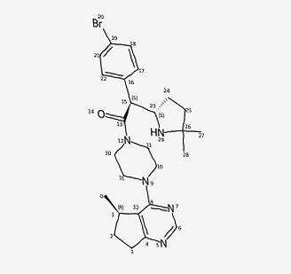 C[C@@H]1CCc2ncnc(N3CCN(C(=O)[C@@H](c4ccc(Br)cc4)[C@@H]4CCC(C)(C)N4)CC3)c21